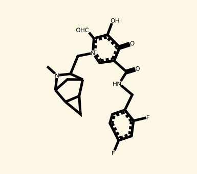 CN1C2CC(C3CC32)C1Cn1cc(C(=O)NCc2ccc(F)cc2F)c(=O)c(O)c1C=O